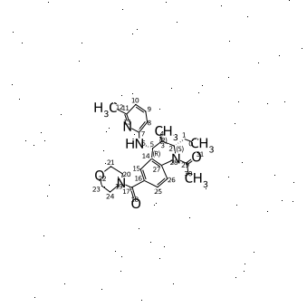 CC[C@H]1[C@H](C)[C@@H](Nc2cccc(C)n2)c2cc(C(=O)N3CCOCC3)ccc2N1C(C)=O